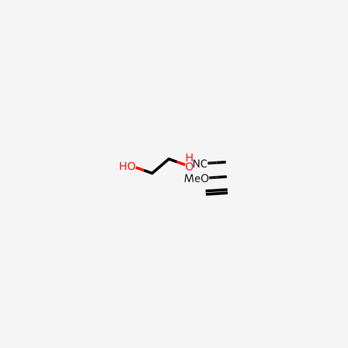 C=C.CC#N.COC.OCCO